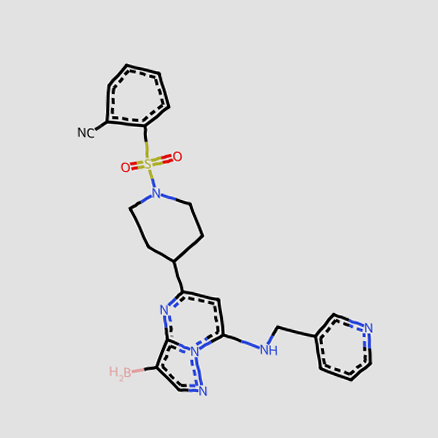 Bc1cnn2c(NCc3cccnc3)cc(C3CCN(S(=O)(=O)c4ccccc4C#N)CC3)nc12